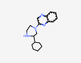 c1ccc2nc(N3CCNC(C4CCCCC4)C3)cnc2c1